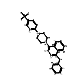 CC(C)(C)c1ccc(N2CCN(c3nnc(Cc4ccccc4)c4ccccc34)CC2)nc1